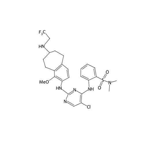 COc1c(Nc2ncc(Cl)c(Nc3ccccc3S(=O)(=O)N(C)C)n2)ccc2c1CCC(NCC(F)(F)F)CC2